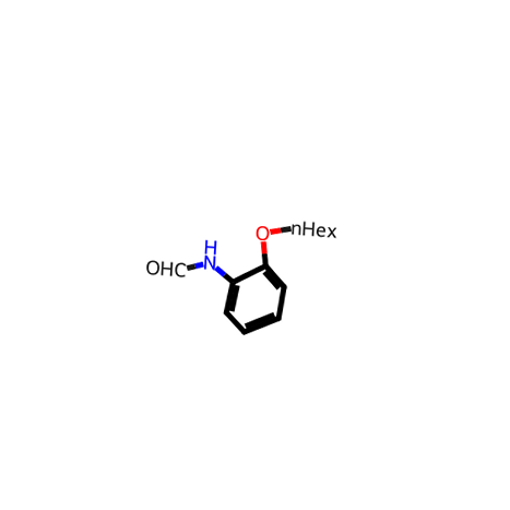 CCCCCCOc1ccccc1NC=O